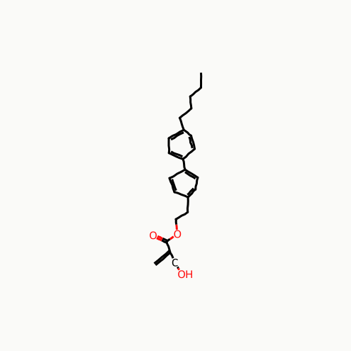 C=C(CO)C(=O)OCCc1ccc(-c2ccc(CCCCC)cc2)cc1